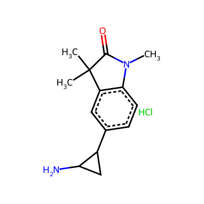 CN1C(=O)C(C)(C)c2cc(C3CC3N)ccc21.Cl